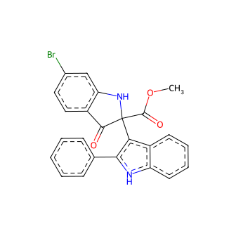 COC(=O)C1(c2c(-c3ccccc3)[nH]c3ccccc23)Nc2cc(Br)ccc2C1=O